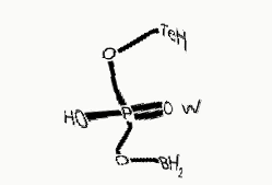 BOP(=O)(O)O[TeH].[W]